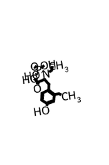 CCc1cc(O)ccc1CC(C(=O)O)N(CC)P(=O)(O)O